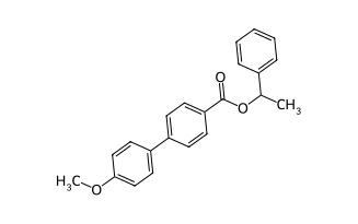 COc1ccc(-c2ccc(C(=O)OC(C)c3ccccc3)cc2)cc1